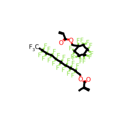 C=C(C)C(=O)OCC(F)(F)C(F)(F)C(F)(F)C(F)(F)C(F)(F)C(F)(F)C(F)(F)C(F)(F)C(F)(F)F.C=CC(=O)OCC1(F)C(F)(F)C(F)(F)C(F)(F)C(F)(F)C1(F)F